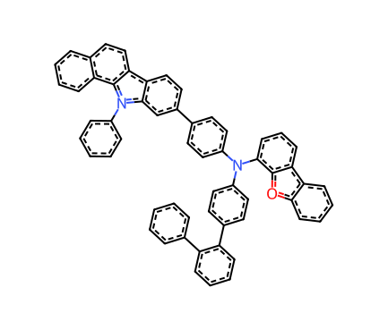 c1ccc(-c2ccccc2-c2ccc(N(c3ccc(-c4ccc5c6ccc7ccccc7c6n(-c6ccccc6)c5c4)cc3)c3cccc4c3oc3ccccc34)cc2)cc1